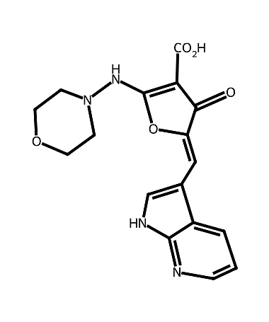 O=C(O)C1=C(NN2CCOCC2)O/C(=C\c2c[nH]c3ncccc23)C1=O